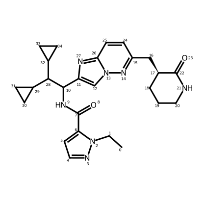 CCn1nccc1C(=O)NC(c1cn2nc(C[C@@H]3CCCNC3=O)ccc2n1)C(C1CC1)C1CC1